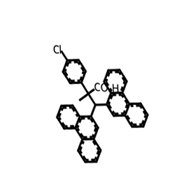 CC(C(=O)O)(c1ccc(Cl)cc1)C(c1cc2ccccc2c2ccccc12)c1cc2ccccc2c2ccccc12